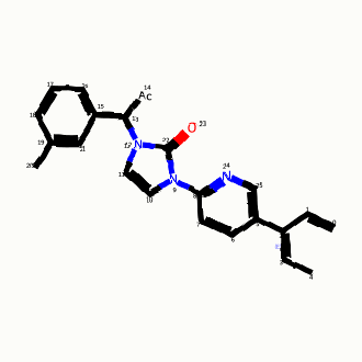 C=C/C(=C\C)c1ccc(-n2ccn(C(C(C)=O)c3cccc(C)c3)c2=O)nc1